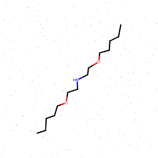 CCCCCOCCNCCOCCCCC